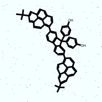 CC(C)(C)c1cc2ccc3ccc(-c4ccc5c(c4)C(c4ccc(O)cc4)(c4ccc(O)cc4)c4cc(-c6ccc7ccc8cc(C(C)(C)C)cc9ccc6c7c89)ccc4-5)c4ccc(c1)c2c34